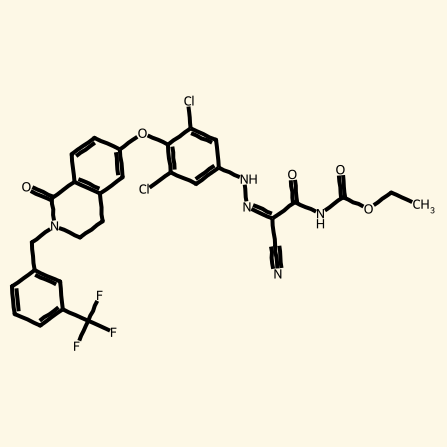 CCOC(=O)NC(=O)C(C#N)=NNc1cc(Cl)c(Oc2ccc3c(c2)CCN(Cc2cccc(C(F)(F)F)c2)C3=O)c(Cl)c1